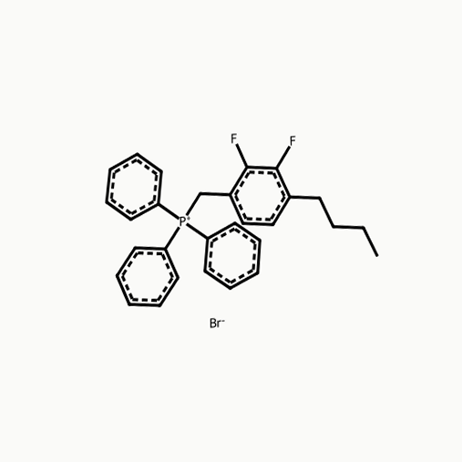 CCCCc1ccc(C[P+](c2ccccc2)(c2ccccc2)c2ccccc2)c(F)c1F.[Br-]